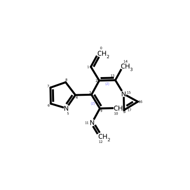 C=CC(/C(C1=NC=CC1)=C(\C)N=C)=C(\C)N1C=C1